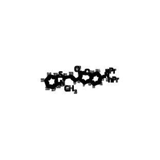 CCCN(CCC)c1ccc2cc(C=CC3Sc4ccccc4N3C)c(=O)oc2c1